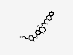 O=C1c2ccc(OC3CCN(CCO)CC3F)cc2OCCN1CC(O)CN1CCc2ccccc2C1